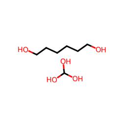 OC(O)O.OCCCCCCO